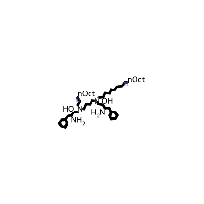 CCCCCCCC/C=C/CCCCCCCCN(CCCCN(C/C=C/CCCCCCCC)CC(O)C(N)Cc1ccccc1)CC(O)C(N)Cc1ccccc1